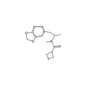 CC(Cc1ccc2c(c1)OCO2)N(C)C(=O)C1CSC1